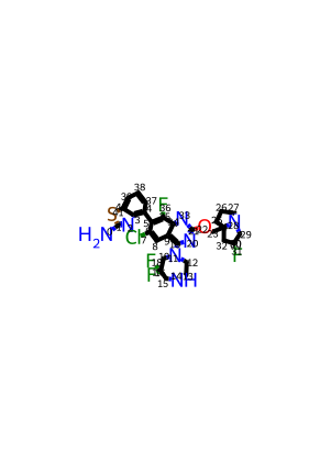 Nc1nc2c(-c3c(Cl)cc4c(N5CCNCC(F)(F)C5)nc(OCC56CCCN5C[C@H](F)C6)nc4c3F)cccc2s1